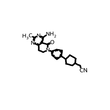 Cc1nc(N)c2c(n1)CCN(c1ccc(C3CCC(CC#N)CC3)cc1)C2=O